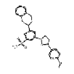 COc1ccc(C2=NN(c3cc(C4CCc5ccccc5O4)cc(S(N)(=O)=O)c3)CC2)cc1